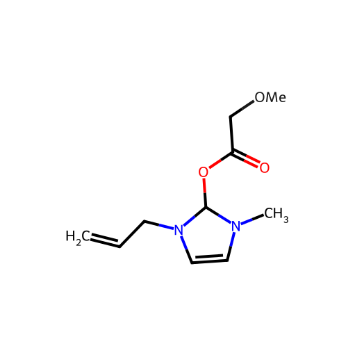 C=CCN1C=CN(C)C1OC(=O)COC